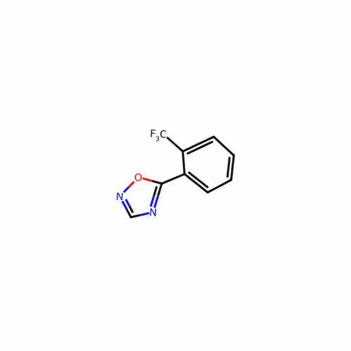 FC(F)(F)c1ccccc1-c1ncno1